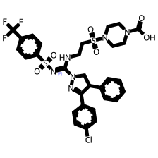 O=C(O)N1CCN(S(=O)(=O)CCN/C(=N\S(=O)(=O)c2ccc(C(F)(F)F)cc2)N2CC(c3ccccc3)C(c3ccc(Cl)cc3)=N2)CC1